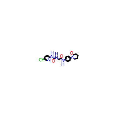 O=C(CNC(=O)Nc1ccc(Cl)cn1)Nc1ccc(N2CCCCC2=O)cc1